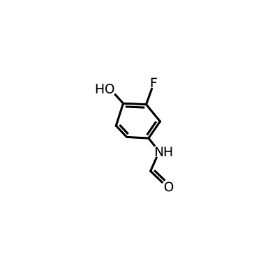 O=CNc1ccc(O)c(F)c1